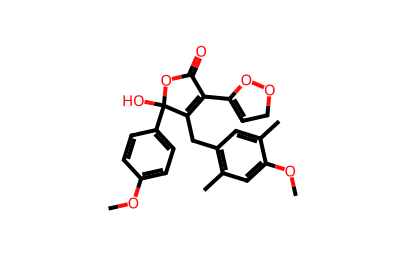 COc1ccc(C2(O)OC(=O)C(C3=CCOO3)=C2Cc2cc(C)c(OC)cc2C)cc1